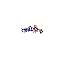 CCC1(CCc2cc(O)c(C(Cc3cccc(NS(=O)(=O)c4ncc5ccccc5n4)c3)C3CC3)c(=O)o2)C=CC=CC1